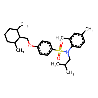 Cc1ccc(N(CC(C)C)S(=O)(=O)c2ccc(OCC3C(C)CCCC3C)cc2)c(C)c1